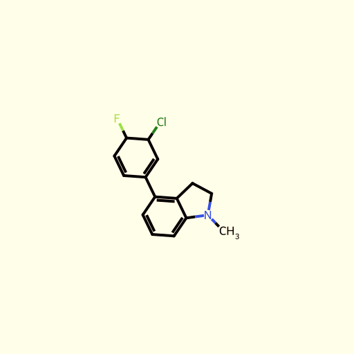 CN1CCc2c(C3=CC(Cl)C(F)C=C3)cccc21